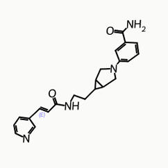 NC(=O)c1cccc(N2CC3C(CCNC(=O)/C=C/c4cccnc4)C3C2)c1